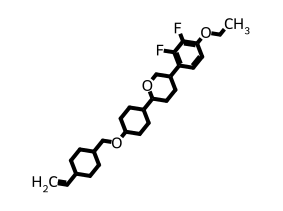 C=CC1CCC(COC2CCC(C3CCC(c4ccc(OCC)c(F)c4F)CO3)CC2)CC1